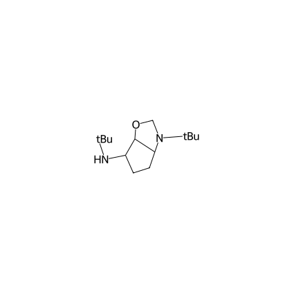 CC(C)(C)NC1CCC2C1OCN2C(C)(C)C